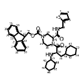 O=C(NCc1cccs1)[C@@H]1CN(C(=O)OCC2c3ccccc3-c3ccccc32)CCN1C(=O)C(CC1CCCCC1)NC1CCCCC1